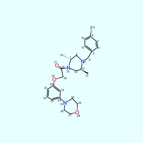 C[C@@H]1CN(Cc2ccc(F)cc2)[C@@H](C)CN1C(=O)COc1cccc(N2CCOCC2)c1